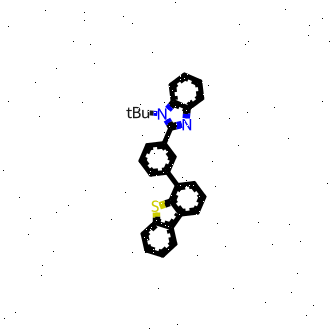 CC(C)(C)n1c(-c2cccc(-c3cccc4c3sc3ccccc34)c2)nc2ccccc21